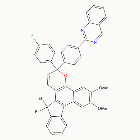 CCC1(CC)c2ccccc2-c2c1c1c(c3cc(OC)c(OC)cc23)OC(c2ccc(F)cc2)(c2ccc(-c3ncc4ccccc4n3)cc2)C=C1